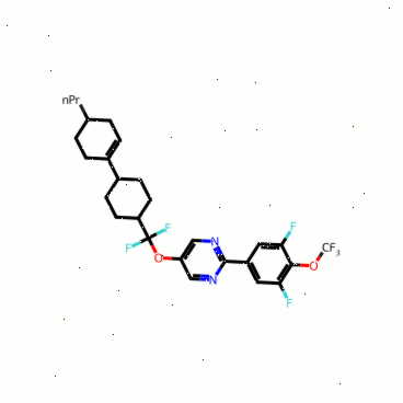 CCCC1CC=C(C2CCC(C(F)(F)Oc3cnc(-c4cc(F)c(OC(F)(F)F)c(F)c4)nc3)CC2)CC1